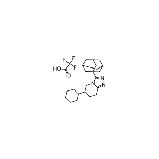 C1CCC(C2CCc3nnc(C45CC6CC(CC(C6)C4)C5)n3C2)CC1.O=C(O)C(F)(F)F